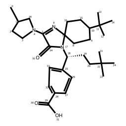 CC1CCN(C2=NC3(CCC(C(C)(C)C)CC3)N([C@H](CCC(C)(C)C)c3ccc(C(=O)O)cc3)C2=O)C1